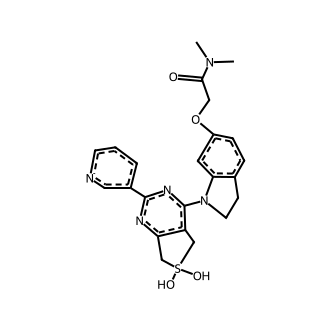 CN(C)C(=O)COc1ccc2c(c1)N(c1nc(-c3cccnc3)nc3c1CS(O)(O)C3)CC2